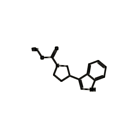 CC(C)(C)OC(=O)N1CCC(c2c[nH]c3ccccc23)C1